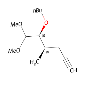 C#CC[C@@H](C)[C@H](OCCCC)C(OC)OC